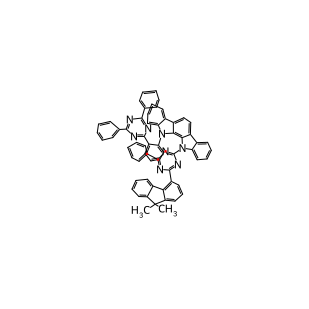 CC1(C)c2ccccc2-c2c(-c3nc(-c4ccccc4)nc(-n4c5ccccc5c5ccc6c7ccccc7n(-c7ccccc7-c7nc(-c8ccccc8)nc(-c8ccccc8)n7)c6c54)n3)cccc21